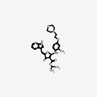 Cc1cc(OCCN2CCOCC2)ccc1NC1=C(C(=O)OC(C)C)C(=O)C(=Cc2c[nH]c3ncccc23)O1